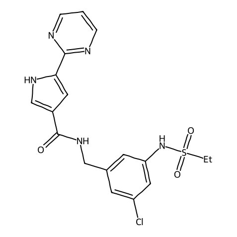 CCS(=O)(=O)Nc1cc(Cl)cc(CNC(=O)c2c[nH]c(-c3ncccn3)c2)c1